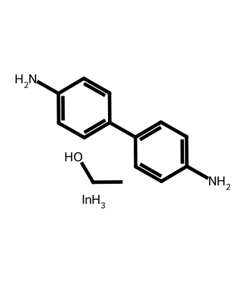 CCO.Nc1ccc(-c2ccc(N)cc2)cc1.[InH3]